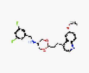 COc1ccc2nccc(CCC3OCC(NCc4cc(F)cc(F)c4)CO3)c2c1